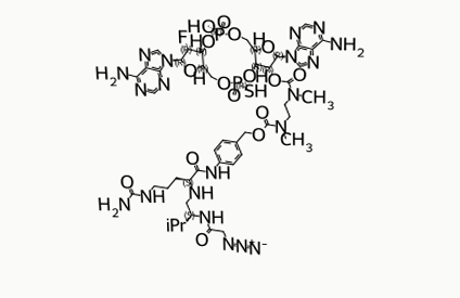 CC(C)[C@@H](CN[C@@H](CCCNC(N)=O)C(=O)Nc1ccc(COC(=O)N(C)CCN(C)C(=O)O[C@@H]2[C@@H]3O[P@](=O)(S)OC[C@H]4O[C@@H](n5cnc6c(N)ncnc65)[C@H](F)[C@@H]4O[P@](=O)(O)OC[C@H]3O[C@H]2n2cnc3c(N)ncnc32)cc1)NC(=O)CN=[N+]=[N-]